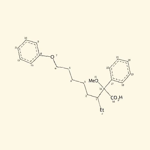 CCC(CCCCCOc1ccccc1)C(OC)(C(=O)O)c1ccccc1